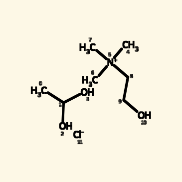 CC(O)O.C[N+](C)(C)CCO.[Cl-]